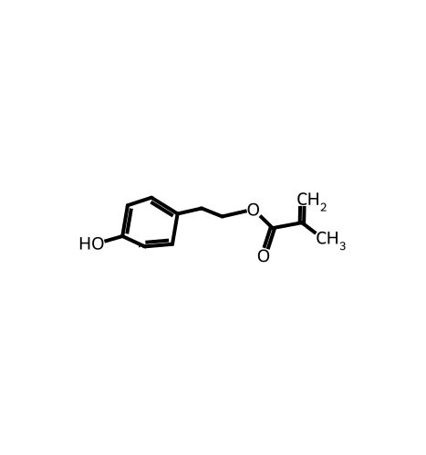 C=C(C)C(=O)OCCc1c[c]c(O)cc1